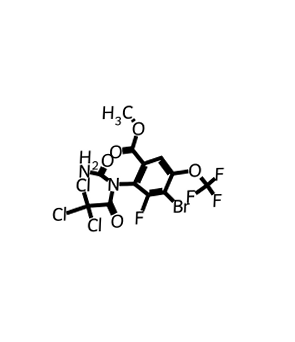 COC(=O)c1cc(OC(F)(F)F)c(Br)c(F)c1N(C(N)=O)C(=O)C(Cl)(Cl)Cl